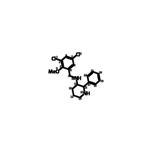 COc1c(Cl)cc(Cl)cc1CNC1CCCNC1c1ccccc1